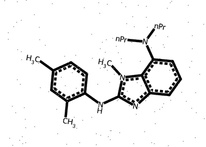 CCCN(CCC)c1cccc2nc(Nc3ccc(C)cc3C)n(C)c12